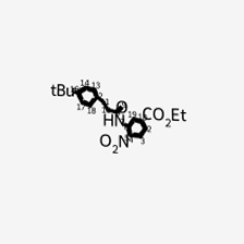 CCOC(=O)c1ccc([N+](=O)[O-])c(NC(=O)CCc2ccc(C(C)(C)C)cc2)c1